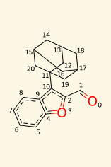 O=Cc1oc2ccccc2c1C12CC3CC(CC(C3)C1)C2